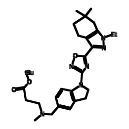 CCn1nc(-c2nc(N3CCc4cc(CN(C)CCC(=O)OC(C)(C)C)ccc43)no2)c2c1CC(C)(C)CC2